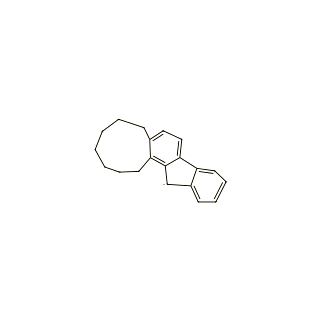 [CH]1c2ccccc2-c2ccc3c(c21)CCCCCCC3